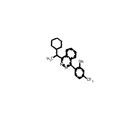 CC(c1nnc(-c2ccc(C(F)(F)F)cc2O)c2ccccc12)C1CCCCC1